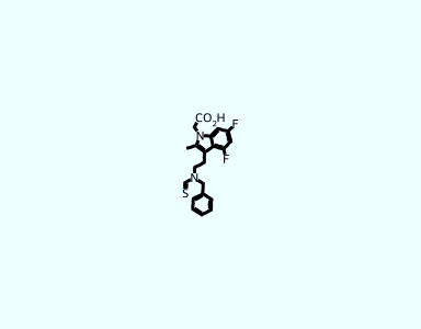 Cc1c(CCN(C=S)Cc2ccccc2)c2c(F)cc(F)cc2n1CC(=O)O